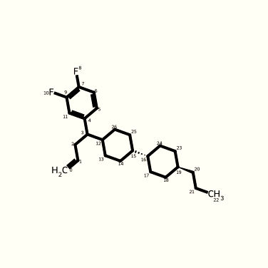 C=CCC(c1ccc(F)c(F)c1)C1CCC([C@H]2CC[C@H](CCC)CC2)CC1